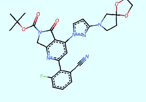 CC(C)(C)OC(=O)N1Cc2nc(-c3c(F)cccc3C#N)cc(-n3ccc(N4CCC5(C4)OCCO5)n3)c2C1=O